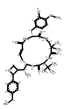 COc1ccc(C[C@H]2NC(=O)/C=C/C[C@@H]([C@H](C)C3COC3c3ccc(CO)cc3)OC(=O)[C@H](C(C)(C)C)NC(=O)C(C)(C)CNC2=O)cc1Cl